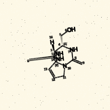 C=C1N[C@H]2[C@H](CO)NC(=C)N3CC=C[C@]23N1